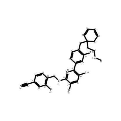 COCCC1(Cc2ccc(-c3nc(OCc4ccc(C#N)cc4F)c(F)cc3F)cc2F)C=CC=CC1